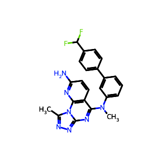 Cc1nnc2nc(N(C)c3cccc(-c4ccc(C(F)F)cc4)c3)c3ccc(N)nc3n12